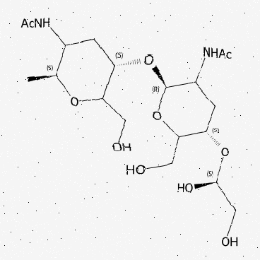 CC(=O)NC1C[C@H](O[C@H](O)CO)C(CO)O[C@H]1O[C@H]1CC(NC(C)=O)[C@H](C)OC1CO